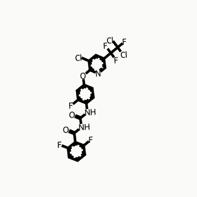 O=C(NC(=O)c1c(F)cccc1F)Nc1ccc(Oc2ncc(C(F)(F)C(F)(Cl)Cl)cc2Cl)cc1F